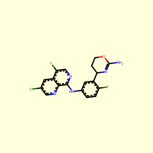 NC1=NC(c2cc(Nc3ncc(F)c4cc(Cl)cnc34)ccc2F)CCO1